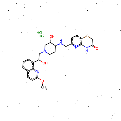 COc1ccc2cccc(C(O)CN3CC[C@H](NCc4ccc5c(n4)NC(=O)CS5)[C@@H](O)C3)c2n1.Cl.Cl